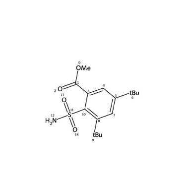 COC(=O)c1cc(C(C)(C)C)cc(C(C)(C)C)c1S(N)(=O)=O